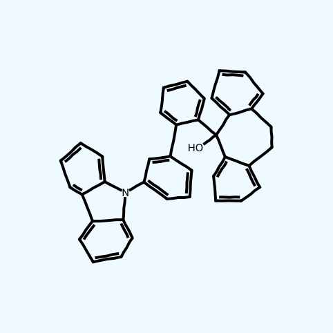 OC1(c2ccccc2-c2cccc(-n3c4ccccc4c4ccccc43)c2)c2ccccc2CCc2ccccc21